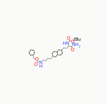 CC(C)(C)OC(=O)NC(CCc1ccc2cc(CCCCNC(=O)OCc3ccccc3)ccc2c1)C(N)=O